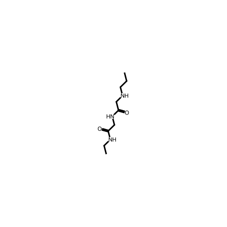 CCCNCC(=O)NCC(=O)NCC